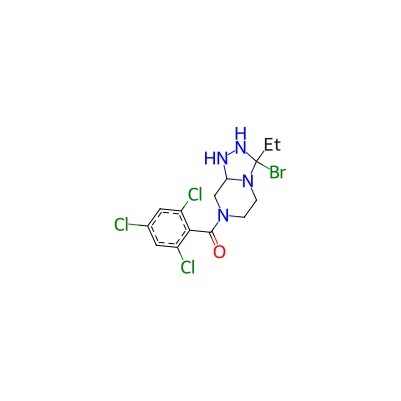 CCC1(Br)NNC2CN(C(=O)c3c(Cl)cc(Cl)cc3Cl)CCN21